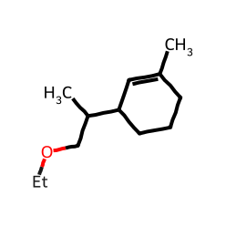 CCOCC(C)C1C=C(C)CCC1